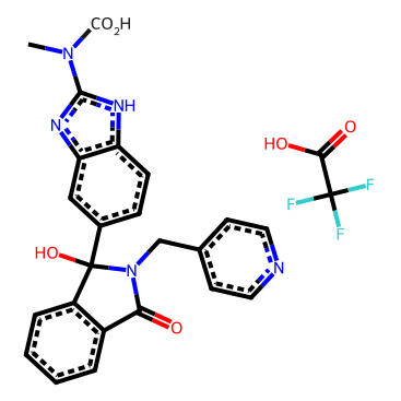 CN(C(=O)O)c1nc2cc(C3(O)c4ccccc4C(=O)N3Cc3ccncc3)ccc2[nH]1.O=C(O)C(F)(F)F